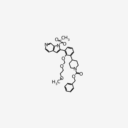 COCCOCOc1c(-c2cc3ccncc3n2S(C)(=O)=O)cccc1C1CCN(C(=O)OCc2ccccc2)CC1